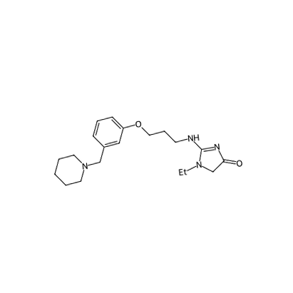 CCN1CC(=O)N=C1NCCCOc1cccc(CN2CCCCC2)c1